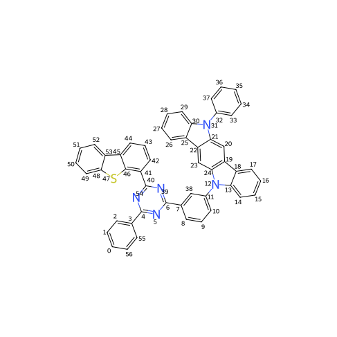 c1ccc(-c2nc(-c3cccc(-n4c5ccccc5c5cc6c(cc54)c4ccccc4n6-c4ccccc4)c3)nc(-c3cccc4c3sc3ccccc34)n2)cc1